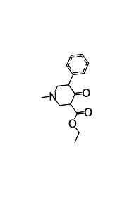 CCOC(=O)C1CN(C)CC(c2ccccc2)C1=O